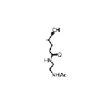 C#C[CH]CCC(=O)NCCNC(C)=O